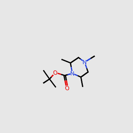 CC1CN(C)CC(C)N1C(=O)OC(C)(C)C